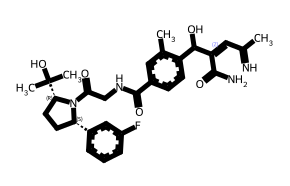 CC(=N)/C=C(\C(N)=O)C(O)c1ccc(C(=O)NCC(=O)N2[C@H](c3cccc(F)c3)CC[C@@H]2C(C)(C)O)cc1C